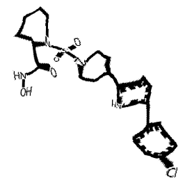 O=C(NO)C1CCCCN1S(=O)(=O)N1CCC(c2ccc(-c3ccc(Cl)cc3)[nH]2)CC1